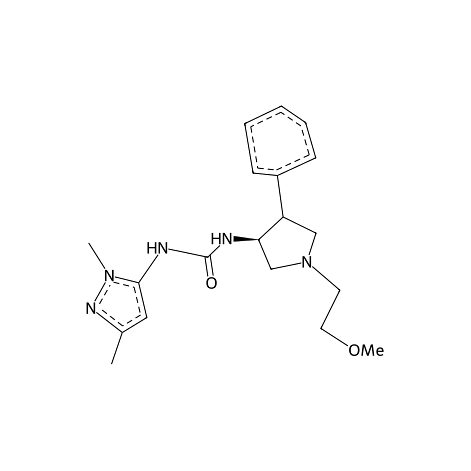 COCCN1CC(c2ccccc2)[C@H](NC(=O)Nc2cc(C)nn2C)C1